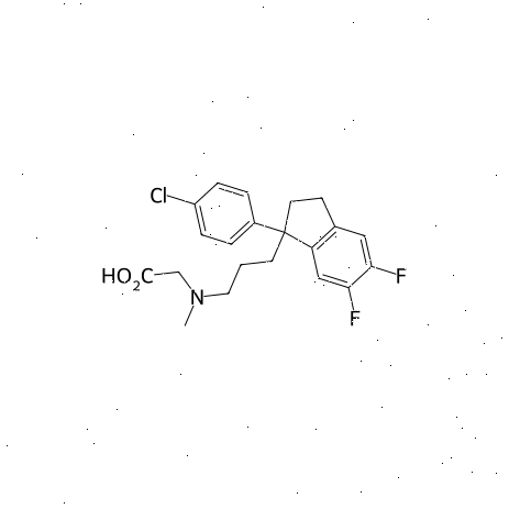 CN(CCCC1(c2ccc(Cl)cc2)CCc2cc(F)c(F)cc21)CC(=O)O